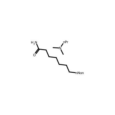 CCCCCCCCCCCCCCCC(N)=O.CCCN(C)C